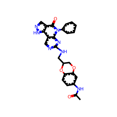 CC(=O)Nc1ccc2c(c1)OCC(CNc1ncc3c4[nH]ncc4c(=O)n(-c4ccccc4)c3n1)O2